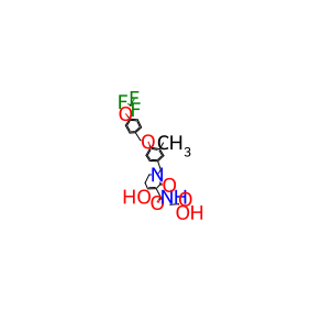 Cc1cc(CN2CCC(O)=C(C(=O)NCC(=O)O)C2=O)ccc1OCc1ccc(OC(F)(F)F)cc1